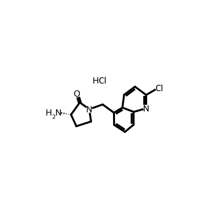 Cl.N[C@H]1CCN(Cc2cccc3nc(Cl)ccc23)C1=O